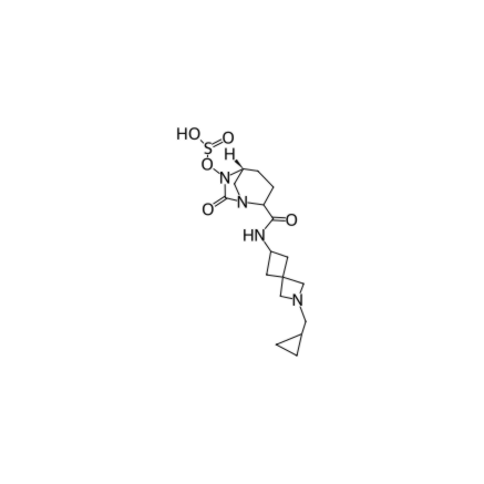 O=C(NC1CC2(C1)CN(CC1CC1)C2)C1CC[C@@H]2CN1C(=O)N2OS(=O)O